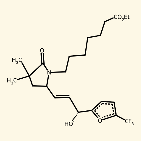 CCOC(=O)CCCCCCN1C(=O)C(C)(C)CC1/C=C/[C@@H](O)c1ccc(C(F)(F)F)o1